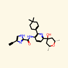 C#Cc1c[nH]c(C(=O)Nc2ccc(C3(O)C[C@@H](C)O[C@@H](C)C3)nc2C2=CCC(C)(C)CC2)n1